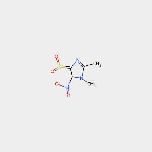 CC1=NC(=S(=O)=O)C([N+](=O)[O-])N1C